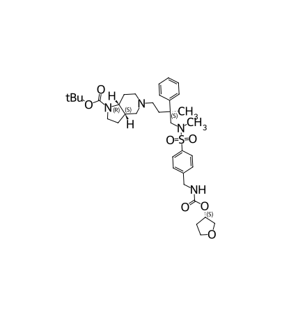 CN(C[C@@](C)(CCN1CC[C@@H]2[C@@H](CCN2C(=O)OC(C)(C)C)C1)c1ccccc1)S(=O)(=O)c1ccc(CNC(=O)O[C@H]2CCOC2)cc1